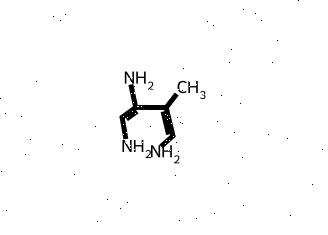 CC(=C/N)/C(N)=C\N